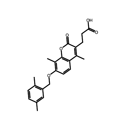 Cc1ccc(C)c(COc2ccc3c(C)c(CCC(=O)O)c(=O)oc3c2C)c1